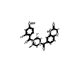 COc1ccc(C(=O)N2[C@H](C)CN(C(=O)c3ccc4c(c3)NC(=O)CO4)C[C@H]2C)c(F)c1